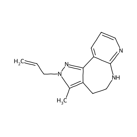 C=CCn1nc2c(c1C)CCNc1ncccc1-2